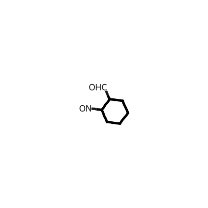 O=CC1CCCCC1N=O